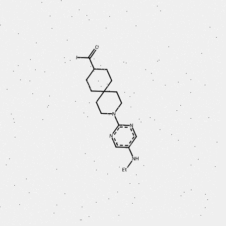 CCNc1cnc(N2CCC3(CCC(C(=O)I)CC3)CC2)nc1